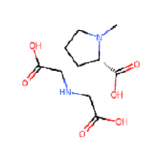 CN1CCC[C@H]1C(=O)O.O=C(O)CNCC(=O)O